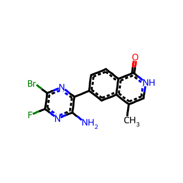 Cc1c[nH]c(=O)c2ccc(-c3nc(Br)c(F)nc3N)cc12